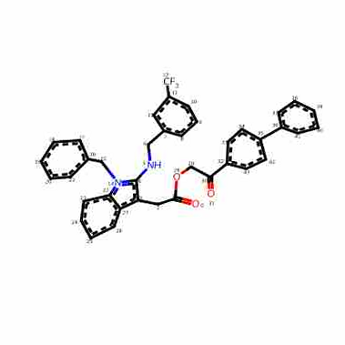 O=C(Cc1c(NCc2cccc(C(F)(F)F)c2)n(Cc2ccccc2)c2ccccc12)OCC(=O)c1ccc(-c2ccccc2)cc1